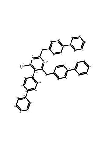 Nc1nc(Cc2ccc(-c3ccccc3)cc2)nc(Cc2ccc(-c3ccccc3)cc2)c1-c1ccc(-c2ccccc2)cc1